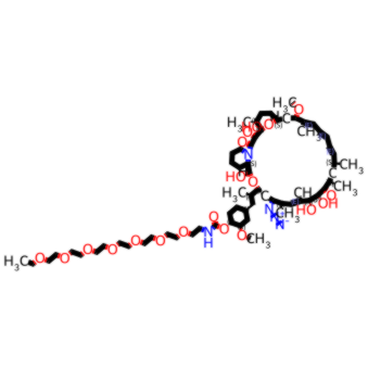 CCOCCOCCOCCOCCOCCOCCOCCNC(=O)O[C@@H]1CC[C@@H](C[C@@H](C)[C@@H]2CC(N=[N+]=[N-])[C@H](C)/C=C(\C)[C@@H](O)[C@@H](O)C(=O)[C@H](C)C[C@H](C)/C=C/C=C/C=C(\C)C(OC)C[C@@H]3CC[C@@H](C)[C@@](O)(O3)C(=O)C(=O)N3CCCC[C@H]3C(O)O2)C[C@H]1OC